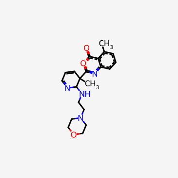 Cc1cccc2nc(C3(C)C=CC=NC3NCCN3CCOCC3)oc(=O)c12